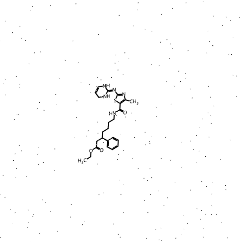 CCOC(=O)CC(CCCCNC(=O)c1sc(N=C2NC=CCN2)nc1C)c1ccccc1